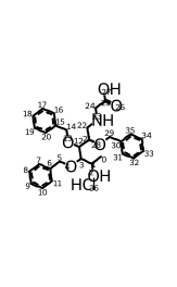 CC(O)C(OCc1ccccc1)C(OCc1ccccc1)C(CNCC(=O)O)OCc1ccccc1.Cl